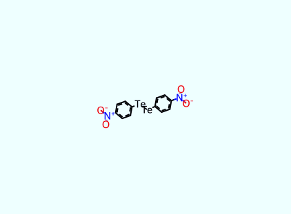 O=[N+]([O-])c1ccc([Te][Te]c2ccc([N+](=O)[O-])cc2)cc1